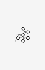 Fc1ccc(Nc2cc(N(c3ccccc3)c3ccccc3)cc(N(c3ccccc3)c3ccccc3)c2)c(F)c1